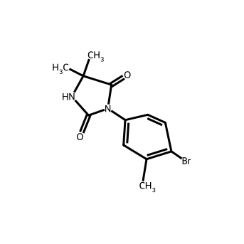 Cc1cc(N2C(=O)NC(C)(C)C2=O)ccc1Br